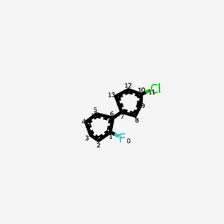 Fc1ccc[c]c1-c1ccc(Cl)cc1